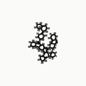 c1ccc(-c2cc3sc4ccccc4c3cc2-n2c3cc4c(cc3c3c5ccccc5ccc32)c2ccccc2n4-c2ccc(-c3cccc4ccccc34)cc2)cc1